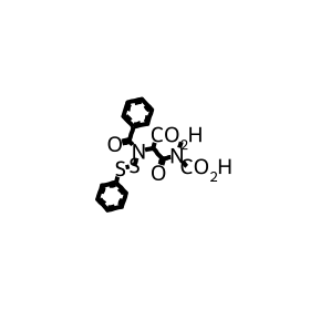 CN(C(=O)O)C(=O)C(C(=O)O)N(SSc1ccccc1)C(=O)c1ccccc1